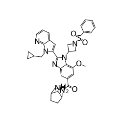 COc1cc(C(=O)N2CC3CCC2[C@@H]3N)cc2nc(-c3cc4cccnc4n3CC3CC3)n(C3CN(S(=O)(=O)c4ccccc4)C3)c12